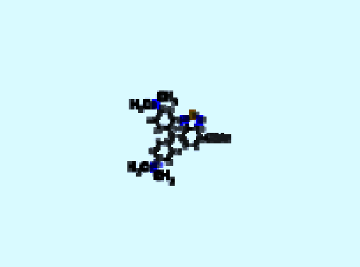 COc1ccc(C(=C2C=CC(=[N+](C)C)C=C2)c2ccc(N(C)C)cc2)c2nsnc12